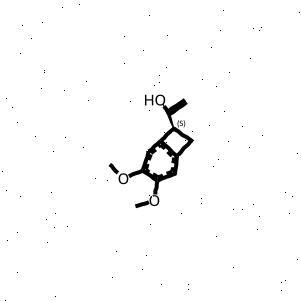 C=C(O)[C@H]1Cc2cc(OC)c(OC)cc21